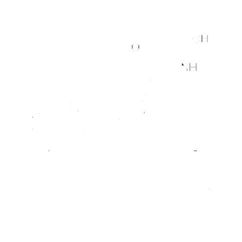 O=C(NO)C1C(c2ccccc2)C1C1CCCCC1